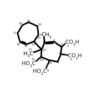 CC1=CC(C(=O)O)C(C(=O)O)CC(C(=O)O)C(C(=O)O)C1(C)C1C=CCCCCC1